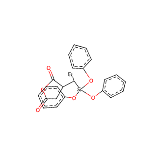 CCC(C1CC(=O)OC1=O)[Si](Oc1ccccc1)(Oc1ccccc1)Oc1ccccc1